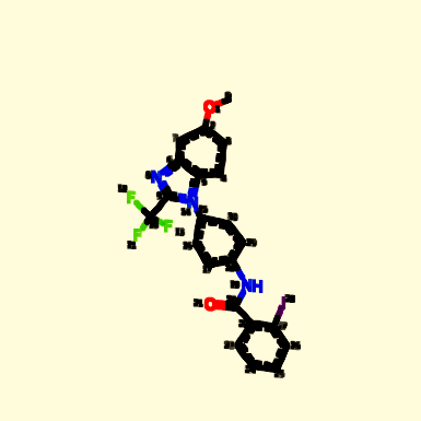 COc1ccc2c(c1)nc(C(F)(F)F)n2-c1ccc(NC(=O)c2ccccc2I)cc1